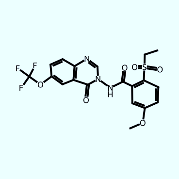 CCS(=O)(=O)c1ccc(OC)cc1C(=O)Nn1cnc2ccc(OC(F)(F)F)cc2c1=O